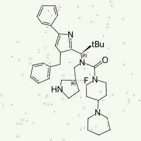 CC(C)(C)[C@H](C1=NC(c2ccccc2)=CC1Cc1ccccc1)N(C[C@@]1(F)CCNC1)C(=O)N1CCC(N2CCCCC2)CC1